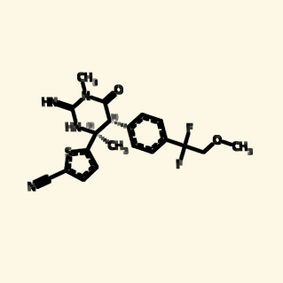 COCC(F)(F)c1ccc([C@H]2C(=O)N(C)C(=N)N[C@]2(C)c2ccc(C#N)s2)cc1